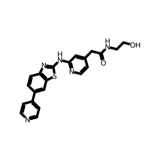 O=C(Cc1ccnc(Nc2nc3ccc(-c4ccncc4)cc3s2)c1)NCCO